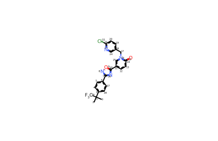 CC(C)(c1ccc(-c2noc(-c3ccc(=O)n(Cc4ccc(Cl)nc4)c3)n2)cc1)C(F)(F)F